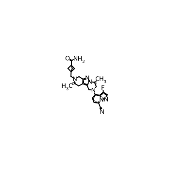 C[C@@H]1CN(c2ccc(C#N)n3ncc(F)c23)Cc2c3c(nn21)CN(CC12CC(C(N)=O)(C1)C2)[C@@H](C)C3